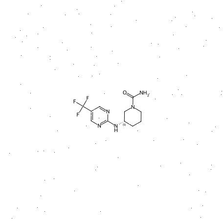 NC(=O)N1CCC[C@H](Nc2ncc(C(F)(F)F)cn2)C1